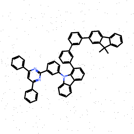 CC1(C)c2ccccc2-c2ccc(-c3cccc(-c4cccc(-c5cccc6c7ccccc7n(-c7cccc(-c8nc(-c9ccccc9)cc(-c9ccccc9)n8)c7)c56)c4)c3)cc21